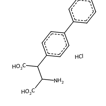 Cl.NC(C(=O)O)C(C(=O)O)c1ccc(-c2ccccc2)cc1